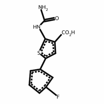 NC(=O)Nc1sc(-c2cccc(F)c2)cc1C(=O)O